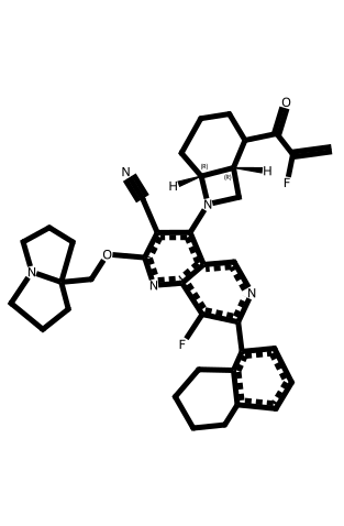 C=C(F)C(=O)C1CCC[C@@H]2[C@H]1CN2c1c(C#N)c(OCC23CCCN2CCC3)nc2c(F)c(-c3cccc4c3CCCC4)ncc12